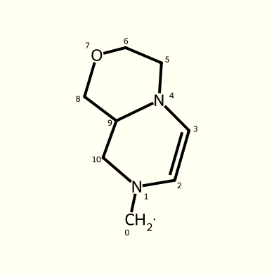 [CH2]N1C=CN2CCOCC2C1